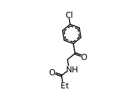 CCC(=O)NCC(=O)c1ccc(Cl)cc1